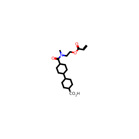 C=CC(=O)OCCN(C)C(=O)C1CCC(C2CCC(C(=O)O)CC2)CC1